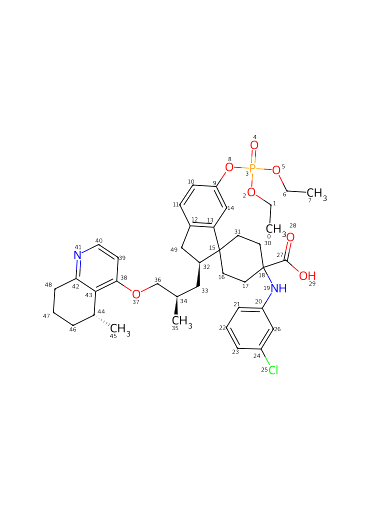 CCOP(=O)(OCC)Oc1ccc2c(c1)C1(CCC(Nc3cccc(Cl)c3)(C(=O)O)CC1)[C@@H](C[C@@H](C)COc1ccnc3c1[C@H](C)CCC3)C2